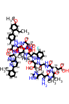 CCc1cc(OC)ccc1-c1ccc(C[C@H](NC(=O)[C@H](CC(=O)O)NC(=O)[C@H](CO)NC(=O)[C@@H](NC(=O)C(C)(Cc2ccccc2F)NC(=O)[C@@H](NC(=O)CNC(=O)[C@H](CCC(=O)O)NC(=O)[C@@H](C)N(C)C(=O)[C@@H](N)Cc2c[nH]cn2)[C@@H](C)O)[C@@H](C)O)C(=O)N[C@@H](Cc2ccc(-c3ccccc3C)nc2)C(N)=O)cc1